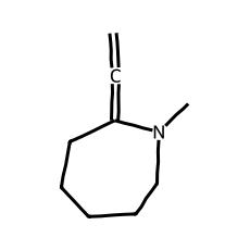 C=C=C1CCCCCN1C